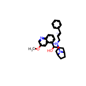 COc1cnc2cccc(C(O)CN3C4CCC3CC(NC/C=C/c3ccccc3)C4)c2c1